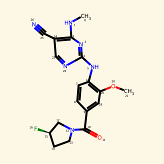 CNc1nc(Nc2ccc(C(=O)N3CC[C@@H](F)C3)cc2OC)ncc1C#N